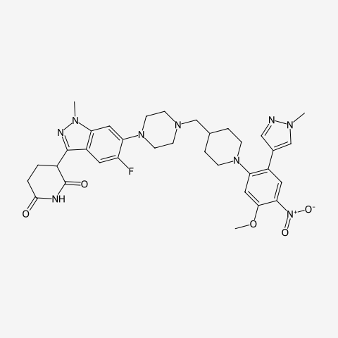 COc1cc(N2CCC(CN3CCN(c4cc5c(cc4F)c(C4CCC(=O)NC4=O)nn5C)CC3)CC2)c(-c2cnn(C)c2)cc1[N+](=O)[O-]